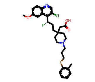 COc1ccc2ncc(Cl)c([C@@H](F)CCC3(CC(=O)O)CCN(CCCSc4ccccc4C)CC3)c2c1